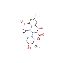 COc1cc(F)cc2c(=O)c(C(=O)O)c(N3CC[C@H](O)[C@@H](C)C3)n(C3CC3)c12